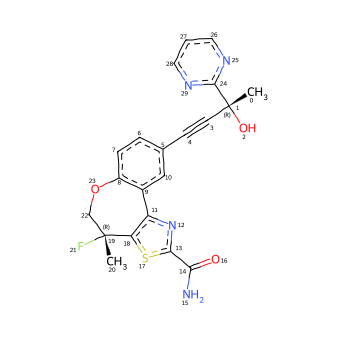 C[C@@](O)(C#Cc1ccc2c(c1)-c1nc(C(N)=O)sc1[C@](C)(F)CO2)c1ncccn1